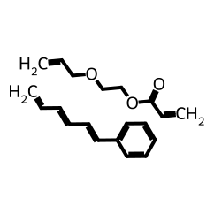 C=CC=CC=Cc1ccccc1.C=CCOCCOC(=O)C=C